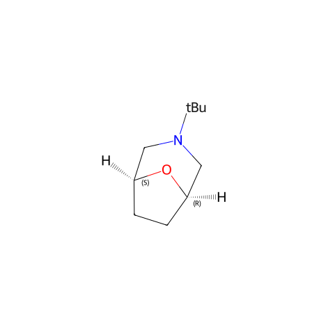 CC(C)(C)N1C[C@H]2CC[C@@H](C1)O2